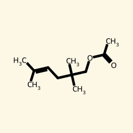 CC(=O)OCC(C)(C)CC=C(C)C